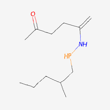 C=C(CCC(C)=O)NPCC(C)CCC